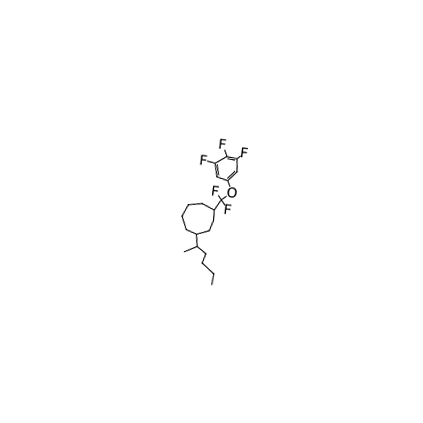 CCCCC(C)C1CCCCC(C(F)(F)Oc2cc(F)c(F)c(F)c2)CC1